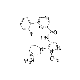 Cn1ncc(NC(=O)c2cncc(-c3ccccc3F)n2)c1N1CCC[C@@H](N)C1